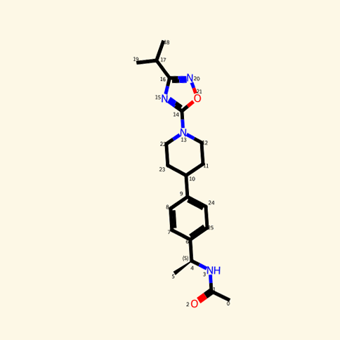 CC(=O)N[C@@H](C)c1ccc(C2CCN(c3nc(C(C)C)no3)CC2)cc1